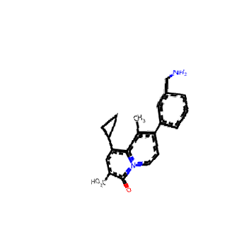 Cc1c(-c2cccc(CN)c2)ccn2c(=O)c(C(=O)O)cc(C3CC3)c12